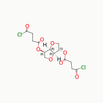 O=C(Cl)CCC(=O)O[C@H]1CO[C@H]2[C@@H]1OC[C@H]2OC(=O)CCC(=O)Cl